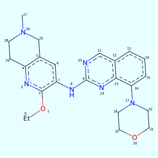 CCOc1nc2c(cc1Nc1ncc3cccc(N4CCOCC4)c3n1)CN(C)CC2